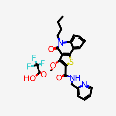 CCCCn1c(=O)c2c(OC)c(C(=O)NCc3ccccn3)sc2c2ccccc21.O=C(O)C(F)(F)F